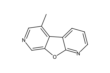 Cc1cncc2oc3ncccc3c12